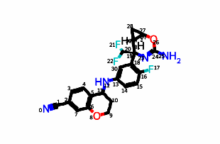 N#Cc1ccc2c(c1)OCCC2Nc1ccc(F)c([C@@]2(C(F)F)N=C(N)O[C@@H]3C[C@@H]32)c1